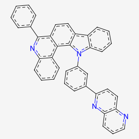 c1ccc(-c2nc3ccccc3c3c2ccc2c4ccccc4n(-c4cccc(-c5ccc6ncccc6n5)c4)c23)cc1